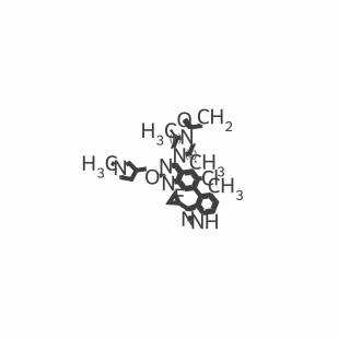 C=CC(=O)N1C[C@H](C)N(c2nc(OCC3CCN(C)C3)nc3c(F)c(-c4c(C)ccc5[nH]nc(C6CC6)c45)c(Cl)cc23)C[C@H]1C